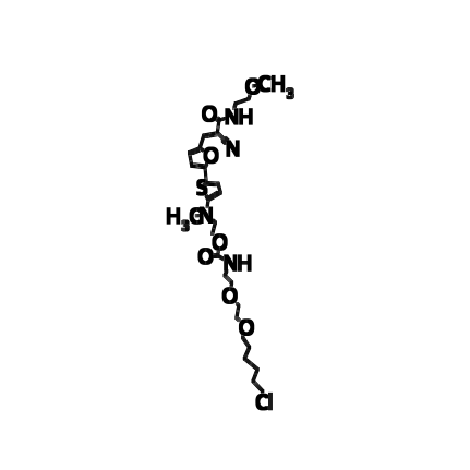 COCCNC(=O)/C(C#N)=C/c1ccc(-c2ccc(N(C)CCOC(=O)NCCOCCOCCCCCCCl)s2)o1